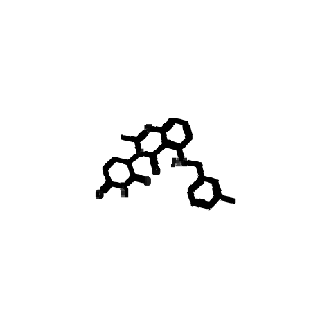 Cc1cccc(CNc2cccc3nc(C)n(C4CCC(=O)NC4=O)c(=O)c23)c1